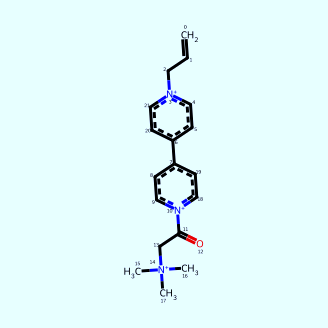 C=CC[n+]1ccc(-c2cc[n+](C(=O)C[N+](C)(C)C)cc2)cc1